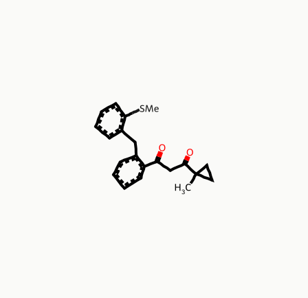 CSc1ccccc1Cc1ccccc1C(=O)CC(=O)C1(C)CC1